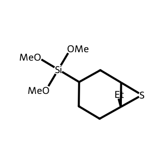 CCC12CCC([Si](OC)(OC)OC)CC1S2